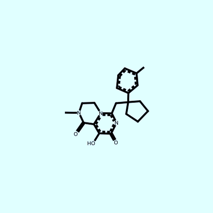 Cc1cccc(C2(Cc3nc(=O)c(O)c4n3CCN(C)C4=O)CCCC2)c1